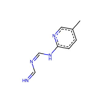 Cc1ccc(N/C=N\C=N)nc1